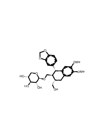 COc1cc2c(cc1OC)[C@@H](c1ccc3c(c1)OCO3)[C@H](CO[C@@H]1OC[C@@H](O)[C@H](O)[C@H]1O)[C@@H](CO)C2